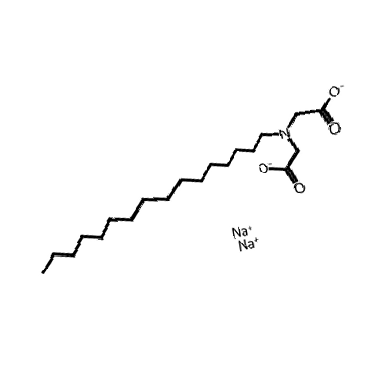 CCCCCCCCCCCCCCCCN(CC(=O)[O-])CC(=O)[O-].[Na+].[Na+]